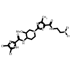 CCc1[nH]c(C(=O)NC2CCN(c3nc(C)c(C(=O)NCCN(CC)CC)s3)CC2OC)nc1Cl